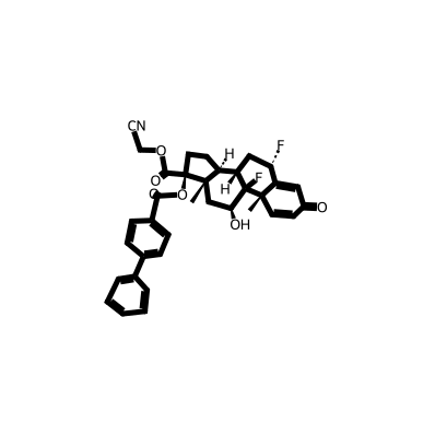 C[C@]12C=CC(=O)C=C1[C@@H](F)C[C@H]1[C@@H]3CC[C@@](OC(=O)c4ccc(-c5ccccc5)cc4)(C(=O)OCC#N)[C@@]3(C)C[C@H](O)C12F